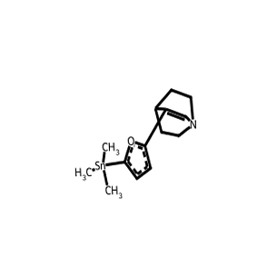 [CH3][Sn]([CH3])([CH3])[c]1ccc(C2=CN3CCC2CC3)o1